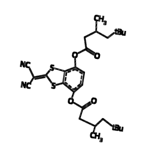 CC(CC(=O)Oc1ccc(OC(=O)CC(C)CC(C)(C)C)c2c1SC(=C(C#N)C#N)S2)CC(C)(C)C